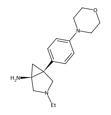 CCN1C[C@]2(N)C[C@]2(c2ccc(N3CCOCC3)cc2)C1